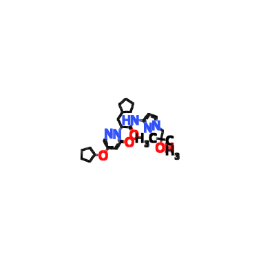 CC(C)(O)Cn1ccc(NC(=O)C(CC2CCCC2)n2ncc(OC3CCCC3)cc2=O)n1